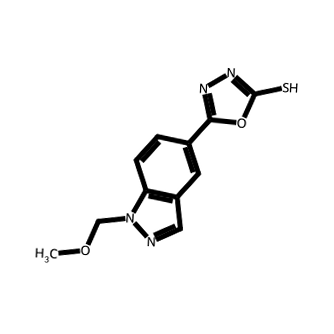 COCn1ncc2cc(-c3nnc(S)o3)ccc21